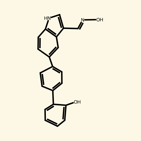 O/N=C/c1c[nH]c2ccc(-c3ccc(-c4ccccc4O)cc3)cc12